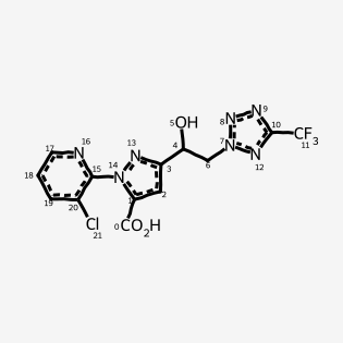 O=C(O)c1cc(C(O)Cn2nnc(C(F)(F)F)n2)nn1-c1ncccc1Cl